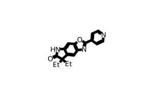 CCC1(CC)C(=O)Nc2cc3oc(-c4ccncc4)nc3cc21